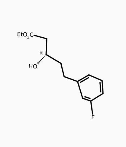 CCOC(=O)C[C@@H](O)CCc1cccc(F)c1